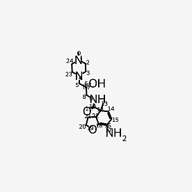 CN1CCN(C[C@H](O)CNC(=O)C2(C)C=CC(N)=C3OCCC32)CC1